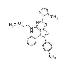 COCCNc1nc(-c2nccn2C)nc2sc(-c3ccc(C)cc3)c(-c3ccccc3)c12